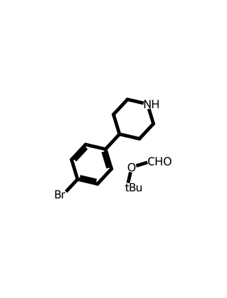 Brc1ccc(C2CCNCC2)cc1.CC(C)(C)OC=O